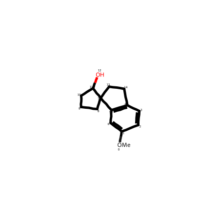 COc1ccc2c(c1)C1(CCCC1O)CC2